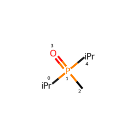 CC(C)P(C)(=O)C(C)C